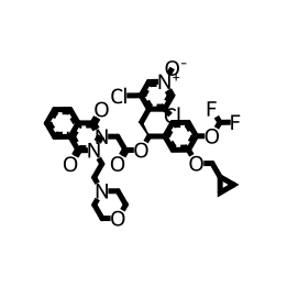 O=C(Cn1c(=O)c2ccccc2c(=O)n1CCN1CCOCC1)O[C@@H](Cc1c(Cl)c[n+]([O-])cc1Cl)c1ccc(OC(F)F)c(OCC2CC2)c1